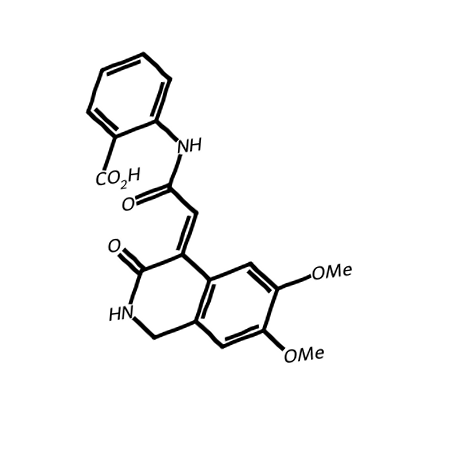 COc1cc2c(cc1OC)/C(=C/C(=O)Nc1ccccc1C(=O)O)C(=O)NC2